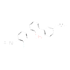 COc1ccc(C)c(-c2cccc(-c3ccc(NC(C)=O)c(F)c3)c2O)c1